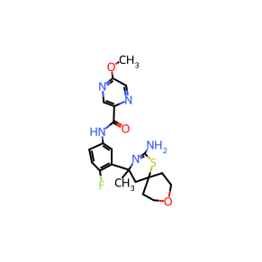 COc1cnc(C(=O)Nc2ccc(F)c(C3(C)CC4(CCOCC4)SC(N)=N3)c2)cn1